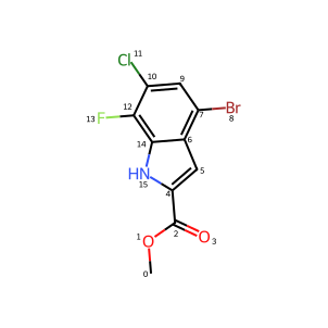 COC(=O)c1cc2c(Br)cc(Cl)c(F)c2[nH]1